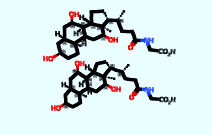 C[C@H](CCC(=O)NCC(=O)O)[C@H]1CC[C@H]2[C@@H]3[C@H](O)C[C@@H]4C[C@H](O)CC[C@]4(C)[C@H]3C[C@H](O)[C@]12C.C[C@H](CCC(=O)NCC(=O)O)[C@H]1CC[C@H]2[C@@H]3[C@H](O)C[C@@H]4C[C@H](O)CC[C@]4(C)[C@H]3C[C@H](O)[C@]12C